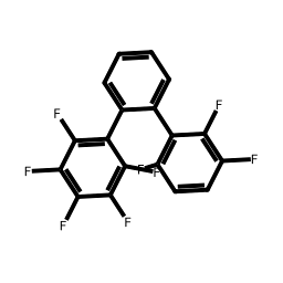 Fc1ccc(F)c(-c2ccccc2-c2c(F)c(F)c(F)c(F)c2F)c1F